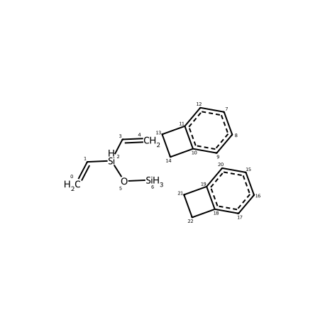 C=C[SiH](C=C)O[SiH3].c1ccc2c(c1)CC2.c1ccc2c(c1)CC2